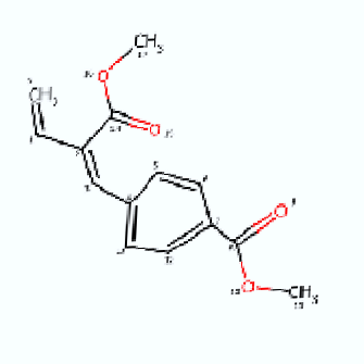 C=CC(=Cc1ccc(C(=O)OC)cc1)C(=O)OC